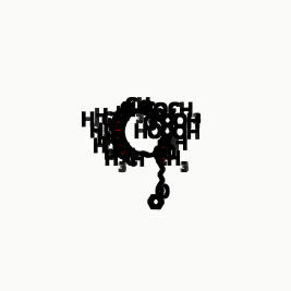 CO[C@H]1/C=C/O[C@@]2(C)Oc3c(C)c(O)c4c(O)c(c(/C=N/OCCCCCCOc5ccccc5)c(O)c4c3C2=O)NC(=O)/C(C)=C\C=C\[C@H](C)[C@H](O)[C@@H](C)[C@@H](O)[C@@H](C)[C@H](OC(C)=O)[C@@H]1C